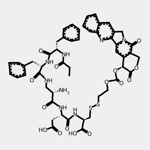 CCC(=O)N[C@@H](Cc1ccccc1)C(=O)N[C@@H](Cc1ccccc1)C(=O)NC[C@H](N)C(=O)N[C@@H](CC(=O)O)C(=O)N[C@@H](CSSCCOC(=O)O[C@@H]1C(=O)OCc2c1cc1n(c2=O)Cc2cc3ccccc3nc2-1)C(=O)O